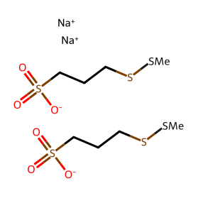 CSSCCCS(=O)(=O)[O-].CSSCCCS(=O)(=O)[O-].[Na+].[Na+]